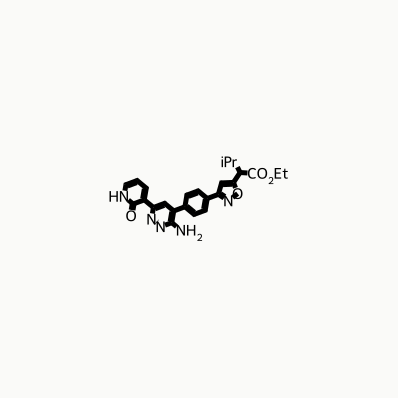 CCOC(=O)C(c1cc(-c2ccc(-c3cc(-c4ccc[nH]c4=O)nnc3N)cc2)no1)C(C)C